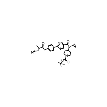 CN(CC#N)C(=O)Cc1ccc(-c2ncc(C(=O)N(C3CC3)C3CCN(C(=O)OC(C)(C)C)CC3)cn2)cc1